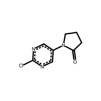 O=C1CCCN1c1cnc(Cl)nc1